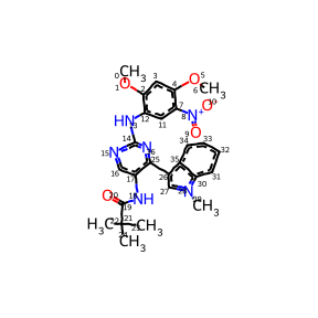 COc1cc(OC)c([N+](=O)[O-])cc1Nc1ncc(NC(=O)C(C)(C)C)c(-c2cn(C)c3ccccc23)n1